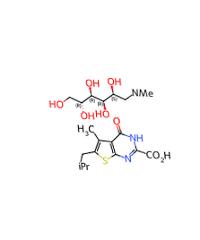 CNC[C@H](O)[C@@H](O)[C@H](O)[C@H](O)CO.Cc1c(CC(C)C)sc2nc(C(=O)O)[nH]c(=O)c12